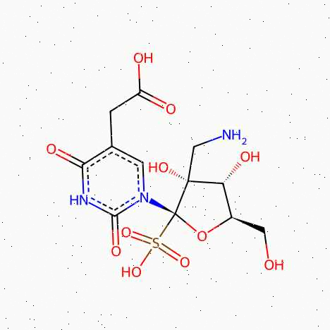 NC[C@@]1(O)[C@H](O)[C@@H](CO)O[C@]1(n1cc(CC(=O)O)c(=O)[nH]c1=O)S(=O)(=O)O